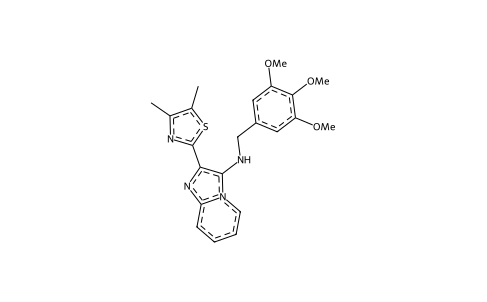 COc1cc(CNc2c(-c3nc(C)c(C)s3)nc3ccccn23)cc(OC)c1OC